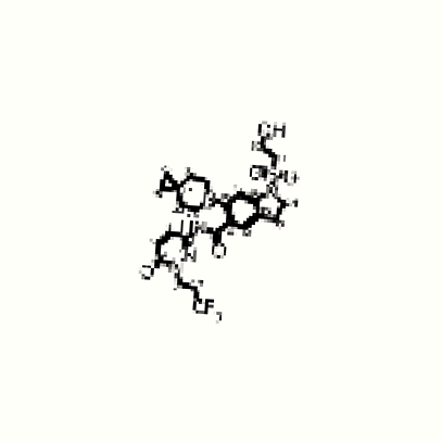 O=C(Nc1ccc(=O)n(CCC(F)(F)F)n1)c1cc2c(cc1N1CCC3(CC1)CC3)N(S(=O)(=O)CCO)CC2